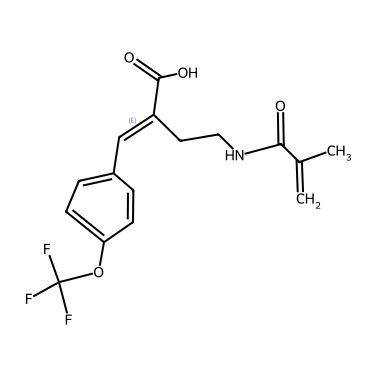 C=C(C)C(=O)NCC/C(=C\c1ccc(OC(F)(F)F)cc1)C(=O)O